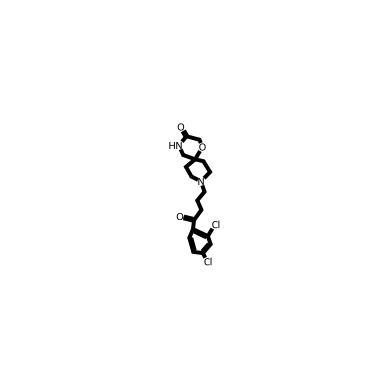 O=C1COC2(CCN(CCCC(=O)c3ccc(Cl)cc3Cl)CC2)CN1